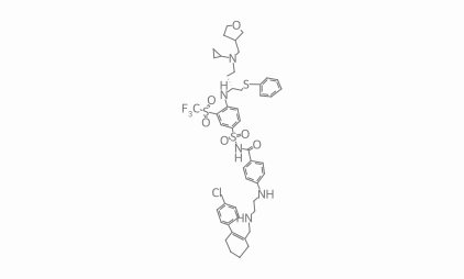 O=C(NS(=O)(=O)c1ccc(N[C@H](CCN(CC2CCOC2)C2CC2)CSc2ccccc2)c(S(=O)(=O)C(F)(F)F)c1)c1ccc(NCCNCC2=C(c3ccc(Cl)cc3)CCCC2)cc1